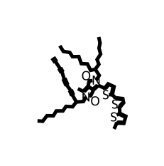 C#CC#CC#CC#CC(CCCCCCCC)CN1C(=O)C2=C(c3ccc(-c4ccc(-c5ccc(C)s5)s4)s3)N(CC(CCCCCC)CCCCCCCC)C(=O)C2=C1C